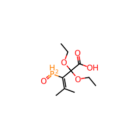 CCOC(OCC)(C(=O)O)C([PH2]=O)=C(C)C